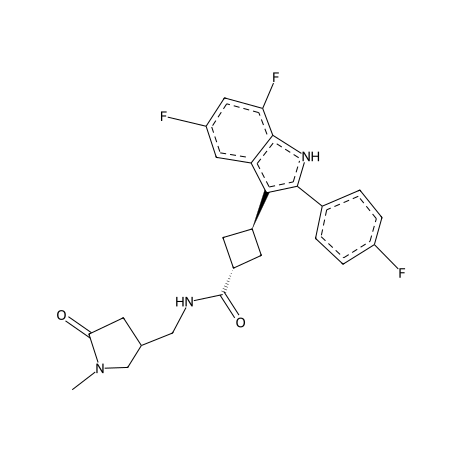 CN1CC(CNC(=O)[C@H]2C[C@H](c3c(-c4ccc(F)cc4)[nH]c4c(F)cc(F)cc43)C2)CC1=O